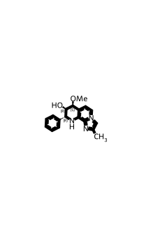 CO[C@H]1c2ccn3cc(C)nc3c2N[C@H](c2ccccc2)[C@H]1O